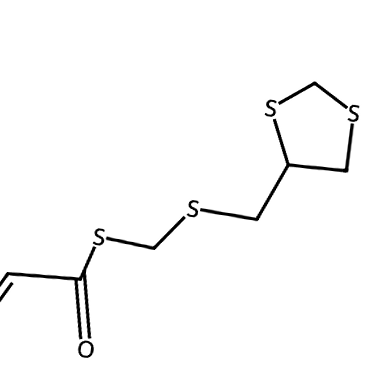 C=CC(=O)SCSCC1CSCS1